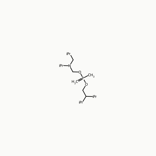 C=P(C)(OCC(C(C)C)C(C)C)OCN(CC(C)C)C(C)C